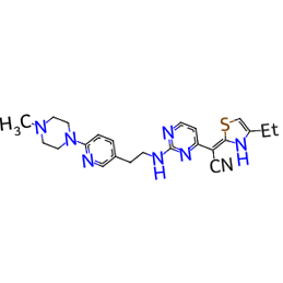 CCC1=CS/C(=C(/C#N)c2ccnc(NCCc3ccc(N4CCN(C)CC4)nc3)n2)N1